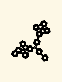 c1ccc(-c2ccc(N(c3ccc(-c4ccc5c(c4)-c4ccccc4C54c5ccccc5-c5ccccc54)cc3)c3ccc4c(c3)-c3ccccc3C43c4ccccc4-c4c3ccc3ccccc43)cc2)cc1